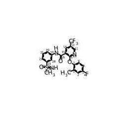 Cc1cc(F)ccc1Oc1ncc(C(F)(F)F)cc1C(=O)Nc1cccc(S(C)(=N)=O)c1